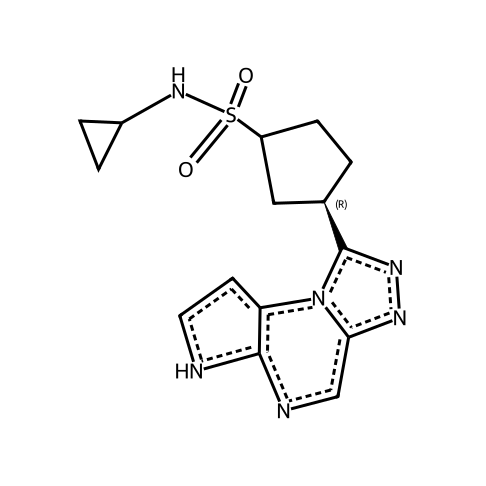 O=S(=O)(NC1CC1)C1CC[C@@H](c2nnc3cnc4[nH]ccc4n23)C1